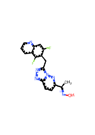 C/C(=N\O)c1ccc2nnc(Cc3c(F)cc4ncccc4c3F)n2n1